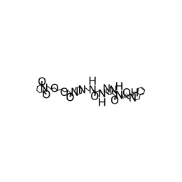 O=C(CNc1cc(C(=O)NC[C@H](O)CN2CCc3ccccc3C2)ncn1)NCCN1CCN(C(=O)COCCOCCN2C(=O)CCCC2=O)CC1